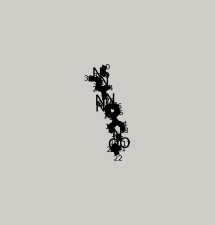 Cc1cn2cc(-c3nnc4cc(C5=CCN(C(=O)OC(C)(C)C)CC5)ccc4n3)cc2c(C)n1